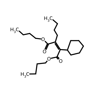 CCCCOC(=O)/C(CCCC)=C(\C(=O)OCCCC)C1CCCCC1